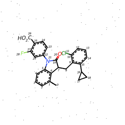 Cc1cccc2c1C(Cc1c(Cl)cccc1C1CC1)C(=O)N2c1ccc(C(=O)O)c(F)c1